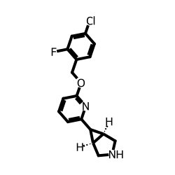 Fc1cc(Cl)ccc1COc1cccc(C2[C@H]3CNC[C@@H]23)n1